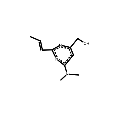 C/C=C/c1nc(CO)cc(N(C)C)n1